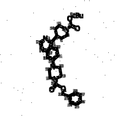 CC(C)(C)OC(=O)N1CCC(c2ncnc3cc(N4CCN(C(=O)OCc5ccccc5)CC4)ccc23)CC1